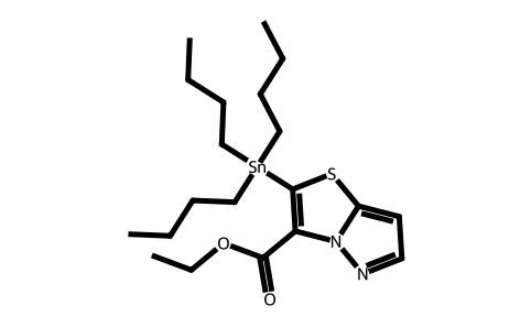 CCC[CH2][Sn]([CH2]CCC)([CH2]CCC)[c]1sc2ccnn2c1C(=O)OCC